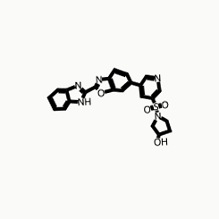 O=S(=O)(c1cncc(-c2ccc3nc(-c4nc5ccccc5[nH]4)oc3c2)c1)N1CCC(O)C1